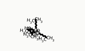 CC(C)CCCCCOP(=O)(CC1=C(C(C)(C)C)CC(O)(C(C)(C)C)C=C1)OCCCCCC(C)C